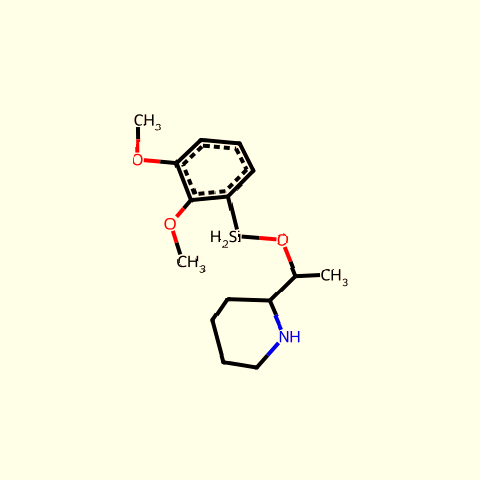 COc1cccc([SiH2]OC(C)C2CCCCN2)c1OC